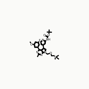 COc1cc(F)cc(-c2nc(C)nc3c2c(-c2ccnc(NC(=O)OC(C)(C)C)c2)cn3COCC[Si](C)(C)C)c1